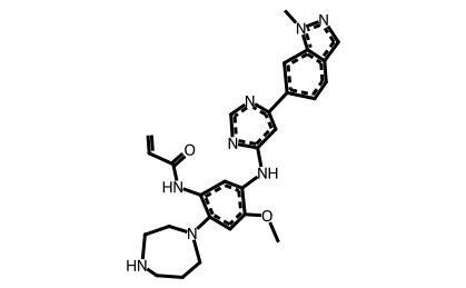 C=CC(=O)Nc1cc(Nc2cc(-c3ccc4cnn(C)c4c3)ncn2)c(OC)cc1N1CCCNCC1